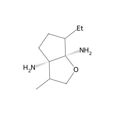 CCC1CC[C@]2(N)C(C)CO[C@]12N